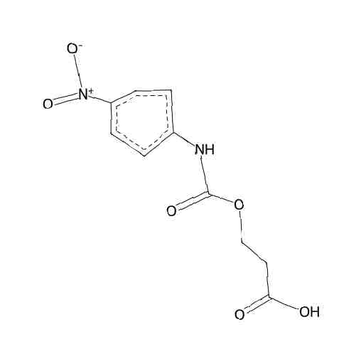 O=C(O)CCOC(=O)Nc1ccc([N+](=O)[O-])cc1